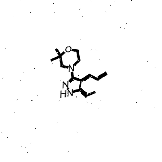 C=C/C=c1/c(N2CCOC(C)(C)C2)n[nH]/c1=C/C